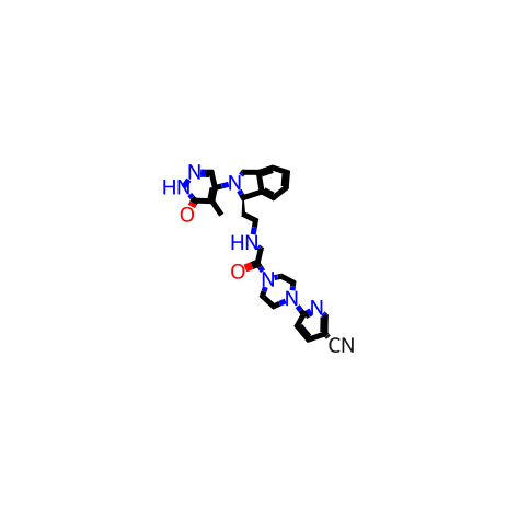 Cc1c(N2Cc3ccccc3[C@H]2CCNCC(=O)N2CCN(c3ccc(C#N)cn3)CC2)cn[nH]c1=O